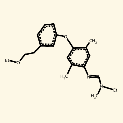 CCOCCc1cccc(Oc2cc(C)c(N=CN(C)CC)cc2C)c1